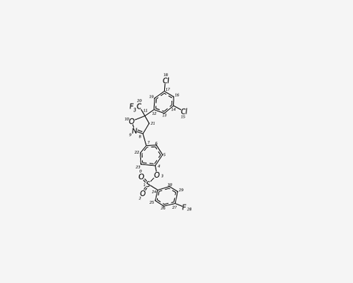 O=S(=O)(Oc1ccc(C2=NOC(c3cc(Cl)cc(Cl)c3)(C(F)(F)F)C2)cc1)c1ccc(F)cc1